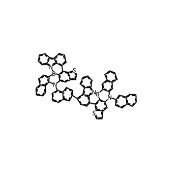 c1ccc2cc(N3c4cc5ccccc5cc4B4c5c3cc3ccsc3c5-c3ccc(-c5ccc6c(N7c8cc9ccsc9c9c8B(c8ccc%10ccccc%10c87)n7c8ccccc8c8cccc-9c87)cccc6c5)c5c6ccccc6n4c35)ccc2c1